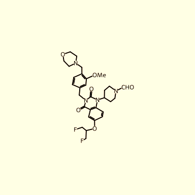 COc1cc(Cn2c(=O)c3cc(OC(CF)CF)ccc3n(C3CCN(C=O)CC3)c2=O)ccc1CN1CCOCC1